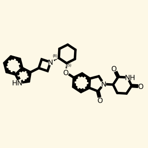 O=C1CCC(N2Cc3cc(O[C@H]4CCCC[C@H]4N4CC(c5c[nH]c6ccccc56)C4)ccc3C2=O)C(=O)N1